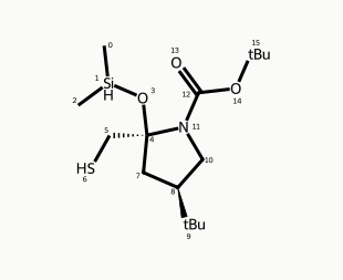 C[SiH](C)O[C@]1(CS)C[C@H](C(C)(C)C)CN1C(=O)OC(C)(C)C